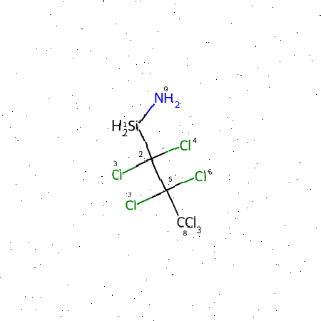 N[SiH2]C(Cl)(Cl)C(Cl)(Cl)C(Cl)(Cl)Cl